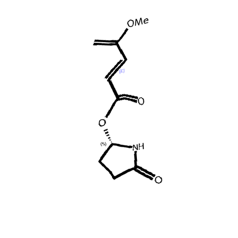 C=C(/C=C/C(=O)O[C@H]1CCC(=O)N1)OC